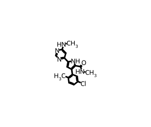 CNC(=O)c1[nH]c(-c2cc(NC)ncn2)cc1-c1cc(Cl)ccc1C